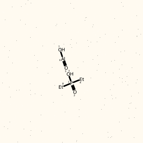 CCP(=O)(O)CC.[O]=[Al][OH]